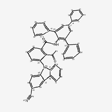 CC(=O)c1c(C(=O)Nc2c(-c3ccccc3)cc(-c3ccccc3)cc2-c2ccccc2)cccc1-n1c2ccccc2c2cc(C#N)ccc21